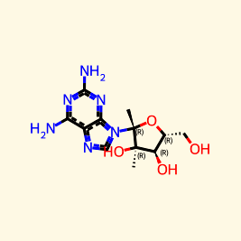 C[C@@]1(n2cnc3c(N)nc(N)nc32)O[C@H](CO)[C@@H](O)[C@@]1(C)O